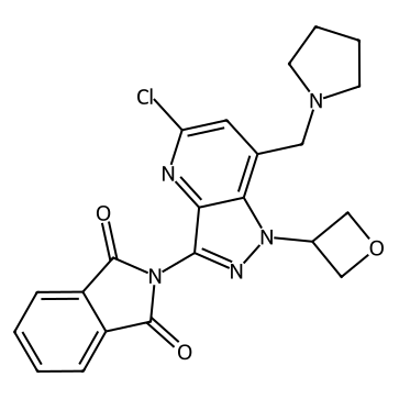 O=C1c2ccccc2C(=O)N1c1nn(C2COC2)c2c(CN3CCCC3)cc(Cl)nc12